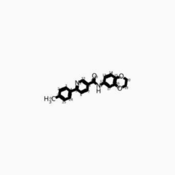 Cc1ccc(-c2ccc(C(=O)Nc3ccc4c(c3)OCCO4)cn2)cc1